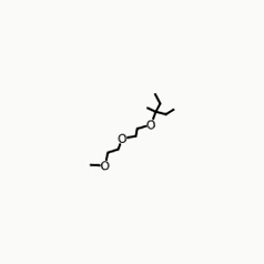 CCC(C)(CC)OCCOCCOC